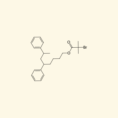 CC(CC(CCCCOC(=O)C(C)(C)Br)c1ccccc1)c1ccccc1